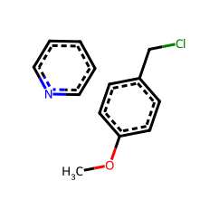 COc1ccc(CCl)cc1.c1ccncc1